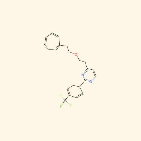 FC(F)(F)C1=CCC(c2nccc(CCOCCC3=CCC=CC=C3)n2)C=C1